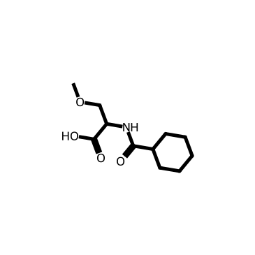 COCC(NC(=O)C1CCCCC1)C(=O)O